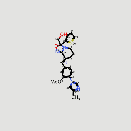 COc1cc(/C=C2\CCCN3C2=NOC3(CO)c2cccs2)ccc1-n1cnc(C)c1